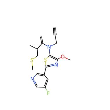 C#CCN(C(=C)C(C)CSC)c1sc(-c2cncc(F)c2)nc1OC